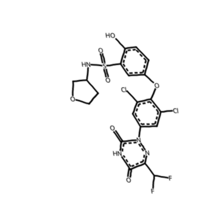 O=c1[nH]c(=O)n(-c2cc(Cl)c(Oc3ccc(O)c(S(=O)(=O)NC4CCOC4)c3)c(Cl)c2)nc1C(F)F